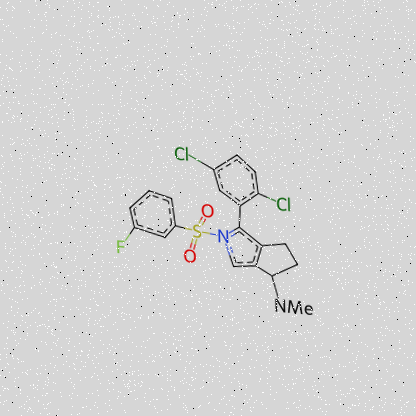 CNC1CCc2c1cn(S(=O)(=O)c1cccc(F)c1)c2-c1cc(Cl)ccc1Cl